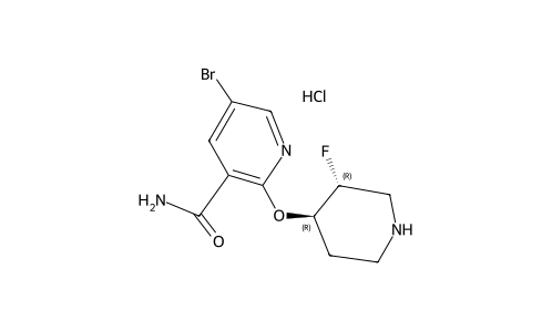 Cl.NC(=O)c1cc(Br)cnc1O[C@@H]1CCNC[C@H]1F